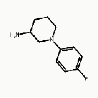 NC1CCCN(c2ccc(F)cc2)C1